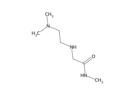 CNC(=O)CNCCN(C)C